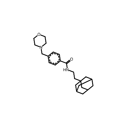 O=C(NCCC12CC3CC(CC(C3)C1)C2)c1ccc(CN2CCOCC2)cc1